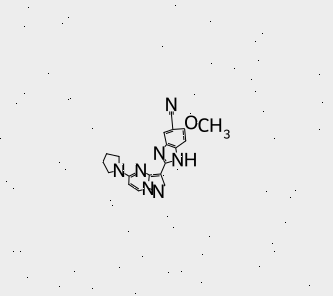 COc1cc2[nH]c(-c3cnn4ccc(N5CCCC5)nc34)nc2cc1C#N